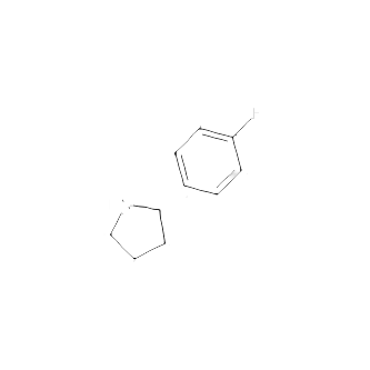 Fc1ccc([C@@H]2CCCN2)cc1